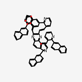 C(=Cc1nc(C=Cc2cccnc2-c2ccc3ccccc3c2)c(C=Cc2cccnc2-c2ccc3ccccc3c2)nc1C=Cc1cccnc1-c1ccc2ccccc2c1)c1cccnc1-c1ccc2ccccc2c1